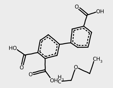 CCOCC.O=C(O)c1cccc(-c2ccc(C(=O)O)c(C(=O)O)c2)c1